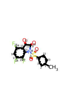 Cc1ccc(S(=O)(=O)N2C(=O)C(=O)c3c(F)cc(F)c(F)c32)cc1